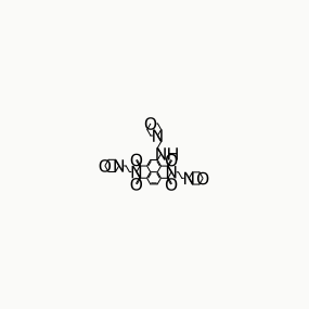 O=C1c2ccc3c4c(c(NCCN5CCOCC5)cc(c24)C(=O)N1CCN1CCOCC1)C(=O)N(CCN1CCOCC1)C3=O